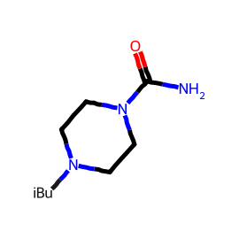 CCC(C)N1CCN(C(N)=O)CC1